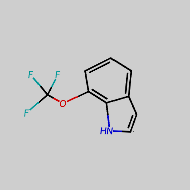 FC(F)(F)Oc1cccc2c[c][nH]c12